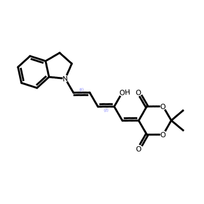 CC1(C)OC(=O)C(=C/C(O)=C/C=C/N2CCc3ccccc32)C(=O)O1